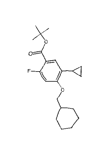 CC(C)(C)OC(=O)c1cc(C2CC2)c(OCC2CCCCC2)cc1F